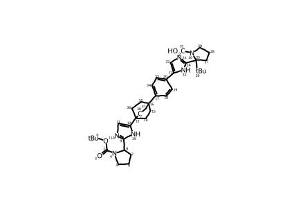 CC(C)(C)OC(=O)N1CCCC1c1ncc(C23CCC(c4ccc(-c5cnc(C6(C(C)(C)C)CCCN6C(=O)O)[nH]5)cc4)(CC2)CC3)[nH]1